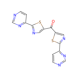 O=C(c1cnc(-c2ccncn2)s1)c1cnc(-c2ccncn2)s1